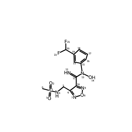 CS(=O)(=O)NCc1nonc1C(=N)N(O)c1cccc(C(F)F)c1